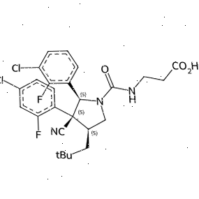 CC(C)(C)C[C@@H]1CN(C(=O)NCCC(=O)O)[C@H](c2cccc(Cl)c2F)[C@@]1(C#N)c1ccc(Cl)cc1F